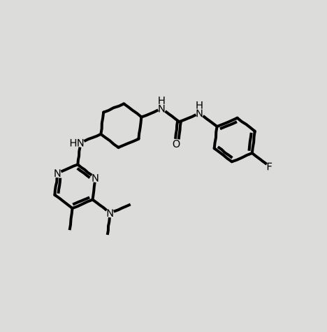 Cc1cnc(NC2CCC(NC(=O)Nc3ccc(F)cc3)CC2)nc1N(C)C